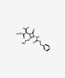 COC(=O)C(=C(C)C)N1C(=O)[C@H](NC(=O)OCc2ccccc2)[C@H]1CCO